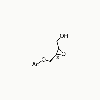 CC(=O)OC[C@@H]1OC1CO